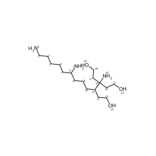 NCCCCCC(N)CCCC(CCO)C(N)(CCO)CCO